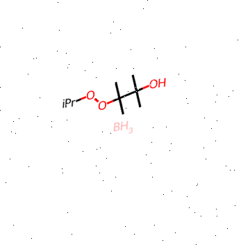 B.CC(C)OOC(C)(C)C(C)(C)O